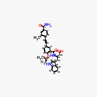 Cc1cc(C(N)=O)ccc1C#Cc1ccc(OC(C)C)c(C(=O)N[C@@H](CO)Cc2c[nH]c3ccccc23)c1